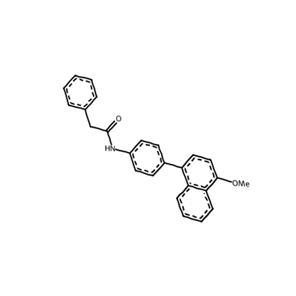 COc1ccc(-c2ccc(NC(=O)Cc3ccccc3)cc2)c2ccccc12